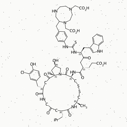 CC(C)C[C@@H]1CC(=O)CNC(=O)[C@H](Cc2ccc(O)c(Cl)c2)CC(=O)[C@@H]2C[C@@H](O)CN2C(=O)[C@@H](NC(=O)[C@@H](CCC(=O)O)CC(=O)[C@H](Cc2c[nH]c3ccccc23)NC(=S)Nc2ccc(CC3CNCCN(CC(=O)O)CCN3CC(=O)O)cc2)CSSC[C@@H](C)NC1=O